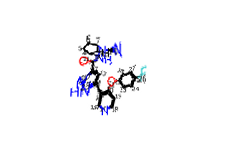 N#CN1CC2CCC1[C@@H]2NC(=O)c1cc(-c2cnccc2Oc2ccc(F)cc2)[nH]n1